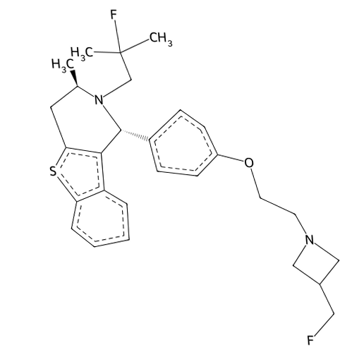 C[C@@H]1Cc2sc3ccccc3c2[C@@H](c2ccc(OCCN3CC(CF)C3)cc2)N1CC(C)(C)F